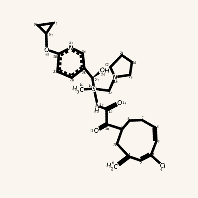 C=C1/C=C(Cl)\C=C/CCC(C(=O)C(=O)NS(C)(CN2CCCC2)[C@H](O)c2ccc(OC3CC3)nc2)C1